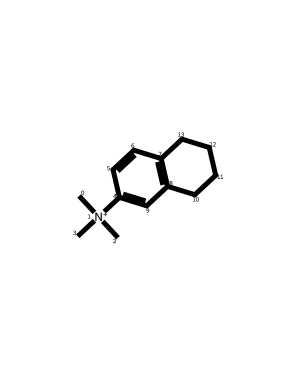 C[N+](C)(C)c1ccc2c(c1)CCCC2